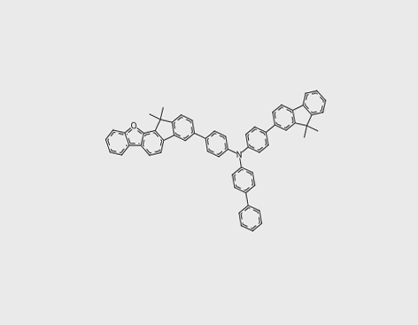 CC1(C)c2ccccc2-c2ccc(-c3ccc(N(c4ccc(-c5ccccc5)cc4)c4ccc(-c5ccc6c(c5)-c5ccc7c(oc8ccccc87)c5C6(C)C)cc4)cc3)cc21